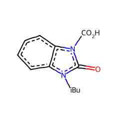 CCC(C)n1c(=O)n(C(=O)O)c2ccccc21